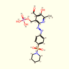 Cc1nc(N=Nc2ccc(S(=O)(=O)N3CCCCC3)cc2)c(COP(=O)(O)O)c(C=O)c1O